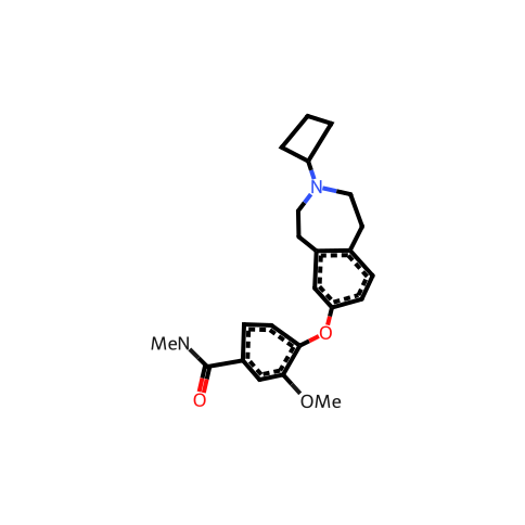 CNC(=O)c1ccc(Oc2ccc3c(c2)CCN(C2CCC2)CC3)c(OC)c1